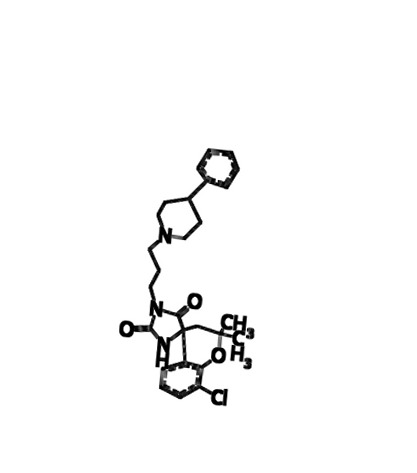 CC1(C)CC2(NC(=O)N(CCCN3CCC(c4ccccc4)CC3)C2=O)c2cccc(Cl)c2O1